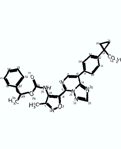 Cc1noc(-c2ncc(-c3ccc(C4(C(=O)O)CC4)cc3)c3ncnn23)c1NC(=O)OC(C)c1ccccc1